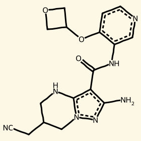 N#CCC1CNc2c(C(=O)Nc3cnccc3OC3COC3)c(N)nn2C1